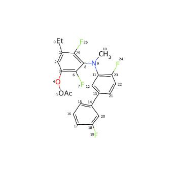 CCc1cc(OOC(C)=O)c(F)c(N(C)c2cc(-c3cccc(F)c3)ccc2F)c1F